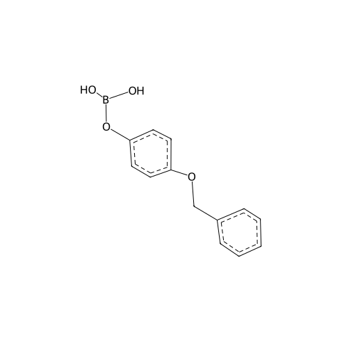 OB(O)Oc1ccc(OCc2ccccc2)cc1